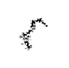 COCCOC(C)(C)CCOC(C)(C)Cc1cn(CCCC[C@H](NC(=O)N[C@@H](CCC(=O)O)C(=O)O)C(=O)O)nn1